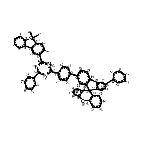 C[Si]1(C)c2ccccc2-c2cc(-c3nc(-c4ccccc4)nc(-c4ccc(-c5ccc6c(c5)C5(c7ccccc7Oc7ccccc75)c5ccc(-c7ccccc7)cc5-6)cc4)n3)ccc21